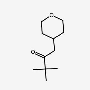 CC(C)(C)C(=O)CC1CCOCC1